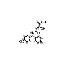 O=C(/C=C(\O)C(=O)O)NC(c1ccc(Cl)cc1)c1ccc(Cl)cc1